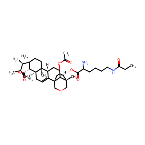 CCC(=O)NCCCCC(N)C(=O)O[C@H]1[C@H](OC(C)=O)C[C@]23COC[C@]1(C)[C@@H]2CC[C@H]1C3=CC[C@@]2(C)[C@H](C(=O)O)[C@@](C)([C@H](C)C(C)C)CC[C@]12C